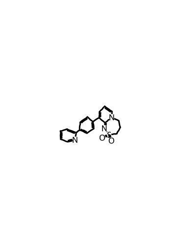 O=S1(=O)CCCN2C=CC=C(c3ccc(-c4ccccn4)cc3)C2=N1